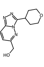 OCc1ccc2nnc(C3CCOCC3)n2n1